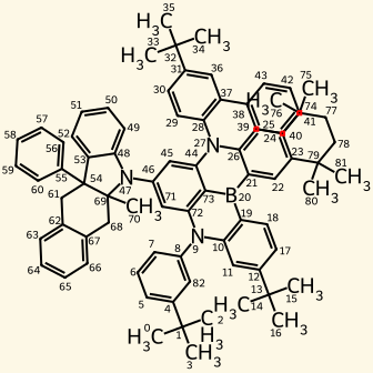 CC(C)(C)c1cccc(N2c3cc(C(C)(C)C)ccc3B3c4cc5c(cc4N(c4ccc(C(C)(C)C)cc4-c4ccccc4)c4cc(N6c7ccccc7C7(c8ccccc8)Cc8ccccc8CC67C)cc2c43)C(C)(C)CCC5(C)C)c1